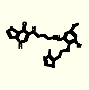 CSc1cc(Br)c(OCCc2scnc2C)c(CNCCCNc2c[nH]c3ccsc3c2=O)c1